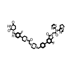 O=C1CC[C@H](Nc2ccc(C3CCN(C(=O)CN4CCN(Cc5ccc(-c6cc(F)c7c(c6)C(=O)N(CC(=O)N(c6nccs6)c6ncn8c6CCC8)C7)cc5)CC4)CC3)c(F)c2)C(=O)N1